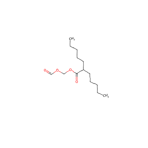 CCCCCC(CCCCC)C(=O)OCOC=O